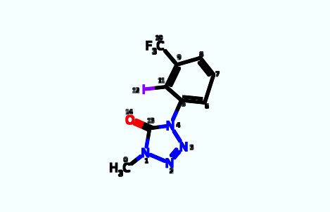 Cn1nnn(-c2cccc(C(F)(F)F)c2I)c1=O